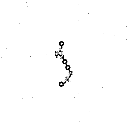 CC(C)C(NC(=O)OCc1ccccc1)c1ncc(-c2ccc(-c3ccc(-c4cnc(CNC(=O)OCc5ccccc5)o4)cc3)cc2)o1